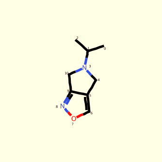 CC(C)N1Cc2conc2C1